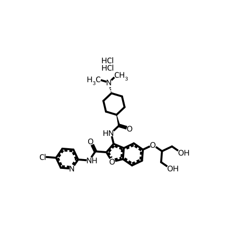 CN(C)[C@H]1CC[C@H](C(=O)Nc2c(C(=O)Nc3ccc(Cl)cn3)oc3ccc(OC(CO)CO)cc23)CC1.Cl.Cl